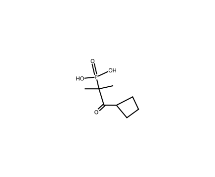 CC(C)(C(=O)C1CCC1)P(=O)(O)O